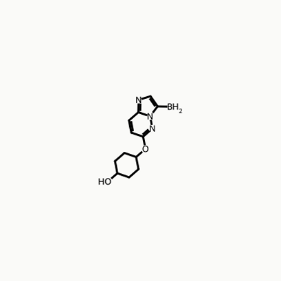 Bc1cnc2ccc(OC3CCC(O)CC3)nn12